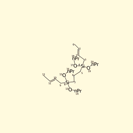 CC=CC[Si](CCC[Si](CC=CC)(OCCC)OCCC)(OCCC)OCCC